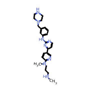 CNCCCN(C)c1ccc(-c2ccnc(Nc3cccc(CN4CCNCC4)c3)n2)cn1